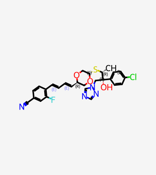 C[C@@H](S[C@H]1CO[C@H](/C=C/C=C/c2ccc(C#N)cc2F)CO1)[C@](O)(Cn1cncn1)c1ccc(Cl)cc1